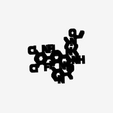 C=CC(=O)N1CC2CNc3c(c4cc(F)c(-c5c(N)c(Cl)cc(Cl)c5F)c(F)c4n(-c4c(C)ccnc4C(C)C)c3=O)N2CC1C